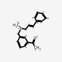 CC(=O)c1cccc(CN(C)CC=Cc2ccccc2)c1